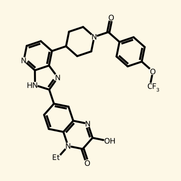 CCn1c(=O)c(O)nc2cc(-c3nc4c(C5CCN(C(=O)c6ccc(OC(F)(F)F)cc6)CC5)ccnc4[nH]3)ccc21